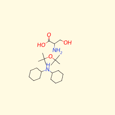 C1CCC(NC2CCCCC2)CC1.CC(C)(C)OC(C)(C)C.NC(CO)C(=O)O